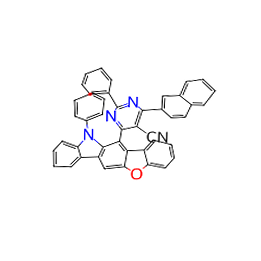 N#Cc1c(-c2ccc3ccccc3c2)nc(-c2ccccc2)nc1-c1c2c(cc3c4ccccc4n(-c4ccccc4)c13)oc1ccccc12